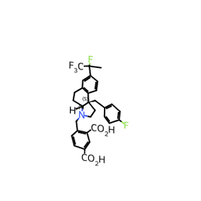 CC(F)(c1ccc2c(c1)CC[C@H]1N(Cc3ccc(C(=O)O)cc3C(=O)O)CC[C@@]21Cc1ccc(F)cc1)C(F)(F)F